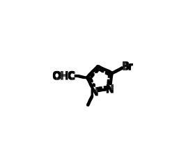 Cn1nc(Br)cc1C=O